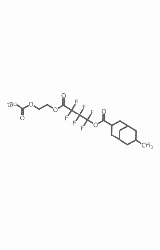 CC1CC2CC(C1)CC(C(=O)OC(F)(F)C(F)(F)C(F)(F)C(=O)OCCOC(=O)C(C)(C)C)C2